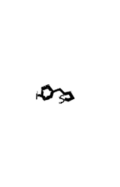 Ic1ccc(Cc2cccs2)cc1